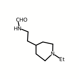 CCN1CCC(CCNC=O)CC1